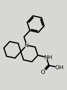 O=C(O)NC1CCC2(CCCCC2)N(Cc2ccccc2)C1